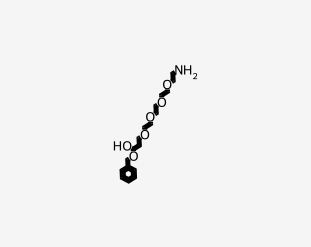 NCCOCCOCCOCCOCCC(O)OCc1ccccc1